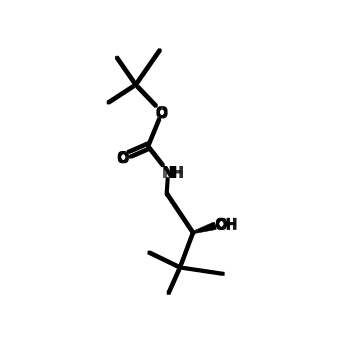 CC(C)(C)OC(=O)NC[C@@H](O)C(C)(C)C